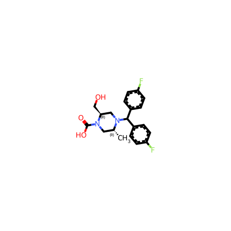 C[C@@H]1CN(C(=O)O)[C@@H](CO)CN1C(c1ccc(F)cc1)c1ccc(F)cc1